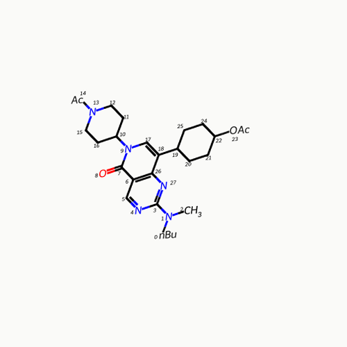 CCCCN(C)c1ncc2c(=O)n(C3CCN(C(C)=O)CC3)cc(C3CCC(OC(C)=O)CC3)c2n1